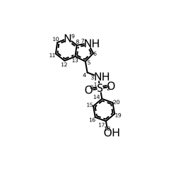 O=S(=O)(NCc1c[nH]c2ncccc12)c1ccc(O)cc1